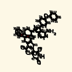 Nc1ncnc2c1c(-c1ccc(Oc3ccccc3)cc1)nn2C1CCC(CN2C3CC2CN(c2ccc4c(c2)C(C(=O)C=O)N(C2CCC(=O)NC2=O)C4)C3)CC1F